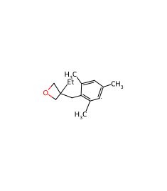 CCC1(Cc2c(C)[c]c(C)cc2C)COC1